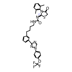 Cc1cccc(C)c1N1C(=O)CS/C1=N\C(=O)NCCCCc1cccc(-c2ncn(-c3ccc(OC(F)(F)F)cc3)n2)c1